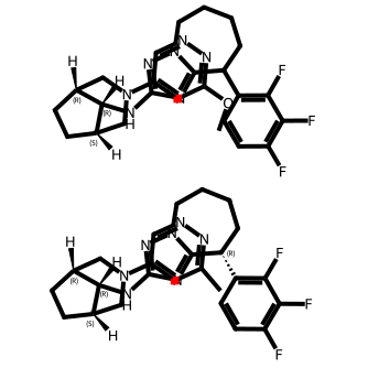 COc1cc(N2C[C@H]3CC[C@@H](C2)[C@H]3Nc2nc3n(n2)CCCCC3c2ccc(F)c(F)c2F)cnn1.Cc1cc(N2C[C@H]3CC[C@@H](C2)[C@H]3Nc2nc3n(n2)CCCC[C@@H]3c2ccc(F)c(F)c2F)cnn1